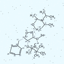 [2H]OC1[C@@H](COP(C)N(C(C)C)C(C)C)O[C@@H](Cc2ccccc2)[C@H]1O[Si](C)(C)C(C)(C)C